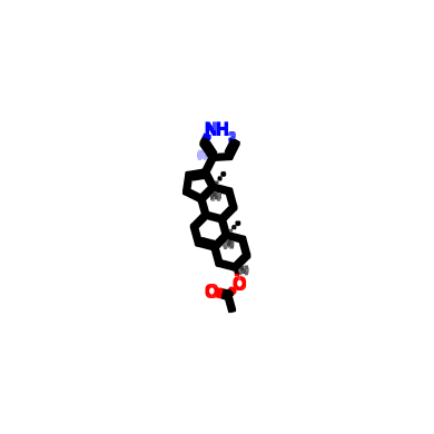 C=C/C(=C\N)C1=CCC2C3CC=C4C[C@@H](OC(C)=O)CC[C@]4(C)C3CC[C@]12C